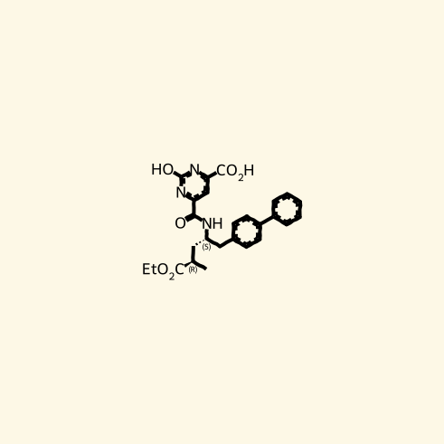 CCOC(=O)[C@H](C)C[C@@H](Cc1ccc(-c2ccccc2)cc1)NC(=O)c1cc(C(=O)O)nc(O)n1